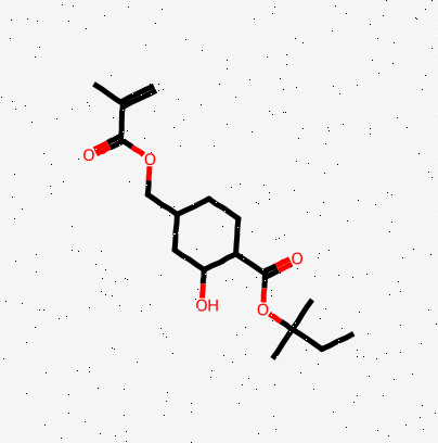 C=C(C)C(=O)OCC1CCC(C(=O)OC(C)(C)CC)C(O)C1